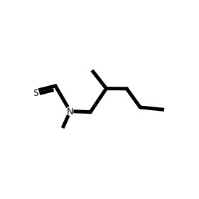 CCCC(C)CN(C)C=S